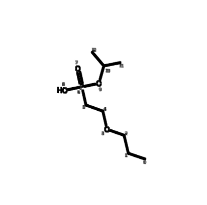 CCCOCCP(=O)(O)OC(C)C